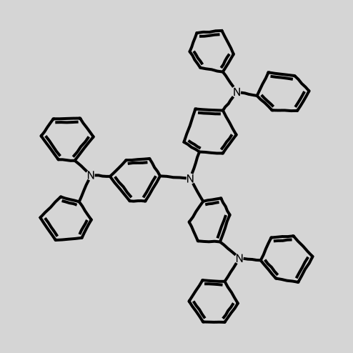 C1=C(N(c2ccccc2)c2ccccc2)CCC(N(c2ccc(N(c3ccccc3)c3ccccc3)cc2)c2ccc(N(c3ccccc3)c3ccccc3)cc2)=C1